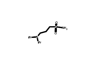 CC(C)N(CCCS(N)(=O)=O)C(C)C